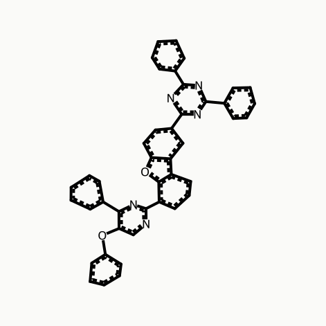 c1ccc(Oc2cnc(-c3cccc4c3oc3ccc(-c5nc(-c6ccccc6)nc(-c6ccccc6)n5)cc34)nc2-c2ccccc2)cc1